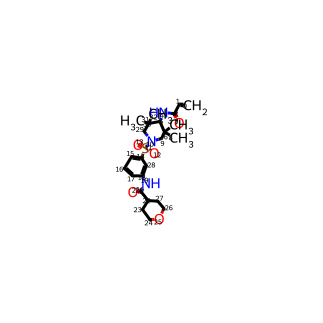 C=CC(=O)NC1C(C)(C)CN(S(=O)(=O)c2cccc(NC(=O)C3CCOCC3)c2)CC1(C)C